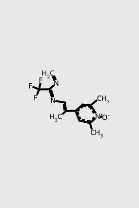 C=N/C(=N\C=C(/C)c1cc(C)[n+]([O-])c(C)c1)C(F)(F)F